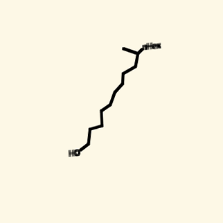 CCCCCCC(C)CCCCCCCCCO